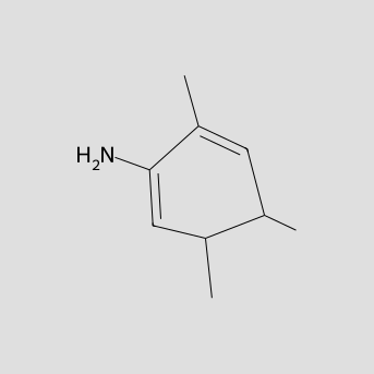 CC1=CC(C)C(C)C=C1N